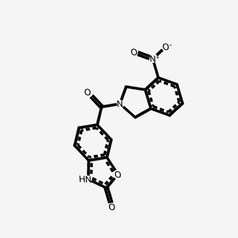 O=C(c1ccc2[nH]c(=O)oc2c1)N1Cc2cccc([N+](=O)[O-])c2C1